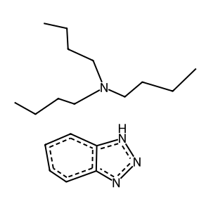 CCCCN(CCCC)CCCC.c1ccc2[nH]nnc2c1